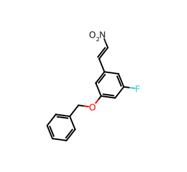 O=[N+]([O-])C=Cc1cc(F)cc(OCc2ccccc2)c1